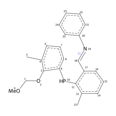 COCOc1c(C)cccc1Pc1c(C)cccc1/C=N/c1ccccc1